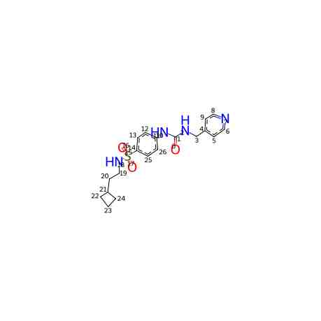 O=C(NCc1ccncc1)Nc1ccc(S(=O)(=O)NCCC2CCC2)cc1